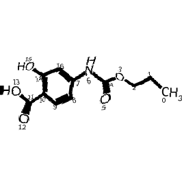 CCCOC(=O)Nc1ccc(C(=O)O)c(O)c1